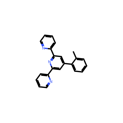 Cc1ccccc1-c1cc(-c2ccccn2)nc(-c2ccccn2)c1